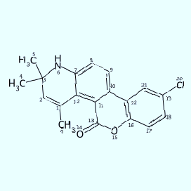 CC1=CC(C)(C)Nc2ccc3c(c21)c(=O)oc1ccc(Cl)cc13